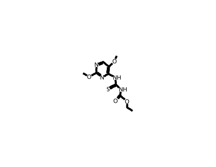 CCOC(=O)NC(=S)Nc1nc(OC)ncc1OC